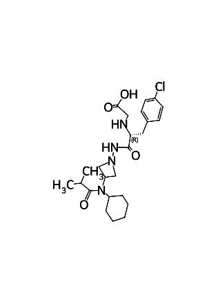 CC(C)C(=O)N(C1CCCCC1)C1CN(NC(=O)[C@@H](Cc2ccc(Cl)cc2)NCC(=O)O)C1